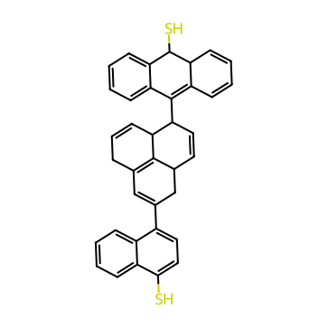 Sc1ccc(C2=CC3=C4C(C=CC(C5=C6C=CC=CC6C(S)c6ccccc65)C4C=CC3)C2)c2ccccc12